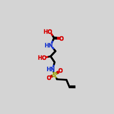 C=CCCS(=O)(=O)NCC(O)CNC(=O)O